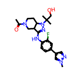 CC(=O)N1CCC2C(C1)C(Nc1ccc(-c3cnn(C)c3)cc1F)=NN2C(C)(C)CO